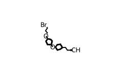 C#CCCc1ccc(Oc2ccc(OCCCBr)cc2)cc1